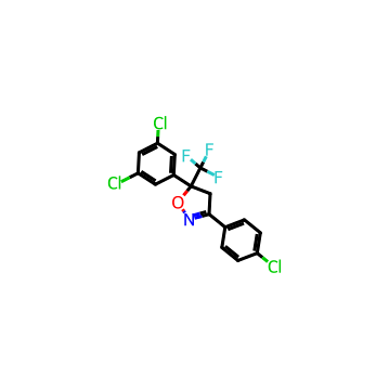 FC(F)(F)C1(c2cc(Cl)cc(Cl)c2)CC(c2ccc(Cl)cc2)=NO1